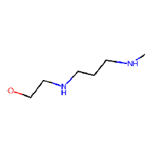 CNCCCNCC[O]